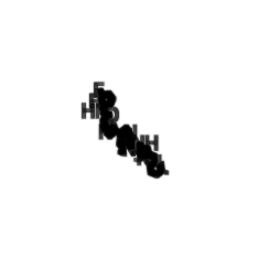 Cc1cn2c(-c3cnn(CC(=O)Nc4cccc(F)c4F)c3)cnc2c(Nc2cc(CN3CCC[C@H](C)C3)ns2)n1